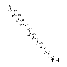 CCCCCCCCCCCCCCCCCCCCCCC.[LiH]